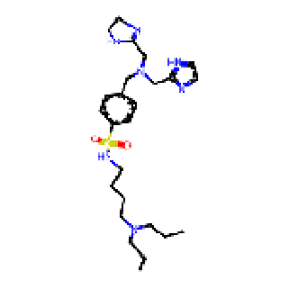 CCCN(CCC)CCCCNS(=O)(=O)c1ccc(CN(CC2=NCCN2)Cc2ncc[nH]2)cc1